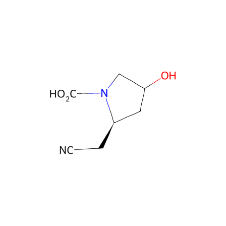 N#CC[C@@H]1CC(O)CN1C(=O)O